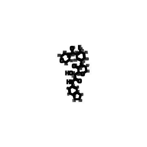 O=C(Nc1ccc2c(c1)CCC2)[C@H](O)[C@H]1OCCN(c2ccc(F)c(C(=O)N3CCOCC3)c2)C1=O